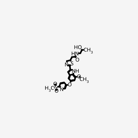 COc1cc(Oc2ccc(S(C)(=O)=O)nc2)cc2cc(C3=NCC(CC(=O)NCC(C)O)S3)[nH]c12